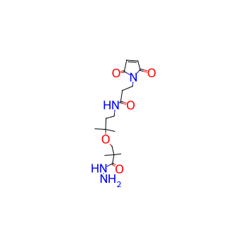 CC(C)(CCNC(=O)CCN1C(=O)C=CC1=O)OCC(C)(C)C(=O)NN